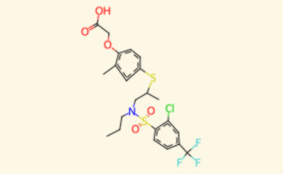 CCCN(CC(C)Sc1ccc(OCC(=O)O)c(C)c1)S(=O)(=O)c1ccc(C(F)(F)F)cc1Cl